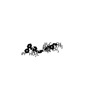 Cc1c(C)c(S(=O)(=O)NC(=N)NCCC[C@H](NC(=O)c2cccn(Cc3ccccc3-c3ccc(C(C)C)cc3)c2=O)C(=O)O)c(C)c2c1OC(C)(C)CC2